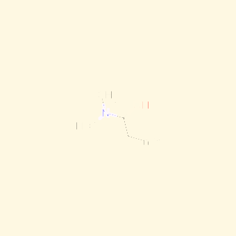 [CH2]N(C)C(O)CCCC